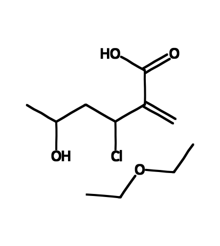 C=C(C(=O)O)C(Cl)CC(C)O.CCOCC